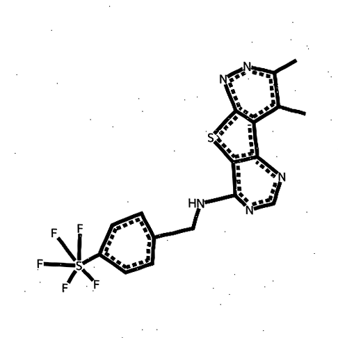 Cc1nnc2sc3c(NCc4ccc(S(F)(F)(F)(F)F)cc4)ncnc3c2c1C